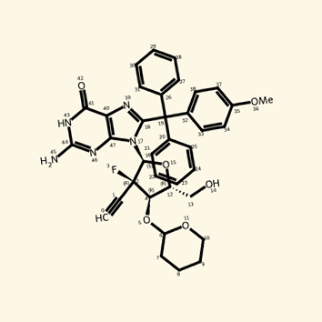 C#C[C@@]1(F)[C@H](OC2CCCCO2)[C@@H](CO)O[C@@H]1n1c(C(c2ccccc2)(c2ccccc2)c2ccc(OC)cc2)nc2c(=O)[nH]c(N)nc21